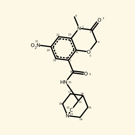 CN1C(=O)COc2c(C(=O)NC3CN4CCC3CC4)cc([N+](=O)[O-])cc21